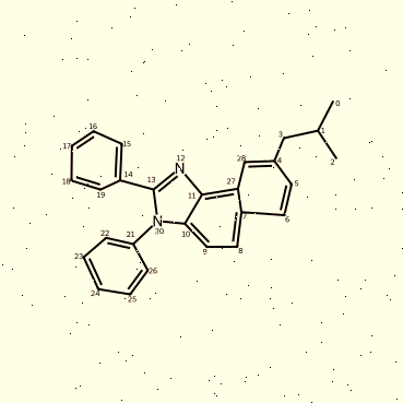 CC(C)Cc1ccc2ccc3c(nc(-c4ccccc4)n3-c3ccccc3)c2c1